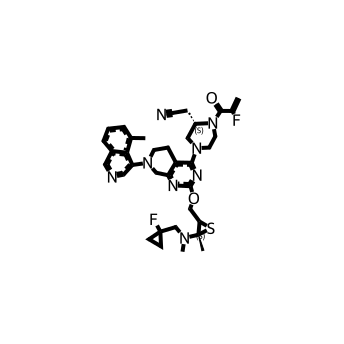 C=C(F)C(=O)N1CCN(c2nc(OCC3S[C@]3(C)N(C)CC3(F)CC3)nc3c2CCN(c2cncc4cccc(C)c24)C3)C[C@@H]1CC#N